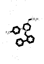 O=C(O)C[C@@H]1CCN(Cc2ccccc2-c2ccccc2)[C@H](c2ccc(C(F)(F)F)cc2)C1